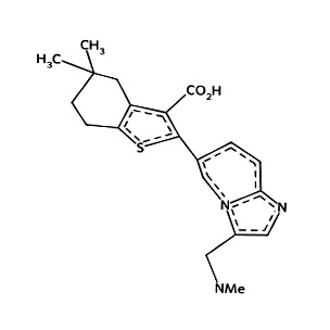 CNCc1cnc2ccc(-c3sc4c(c3C(=O)O)CC(C)(C)CC4)cn12